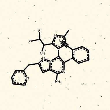 Cc1nc(C(O)C(F)F)c(-c2c(-c3ccccc3C#N)nc(N)c3cc(Cc4ccccn4)nn23)o1